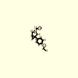 CCOc1ccc(C23CC2CN(C=O)C3)cc1